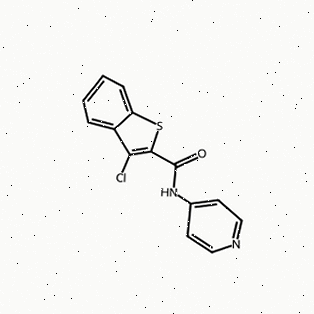 O=C(Nc1ccncc1)c1sc2ccccc2c1Cl